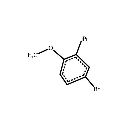 [CH2]C(C)c1cc(Br)ccc1OC(F)(F)F